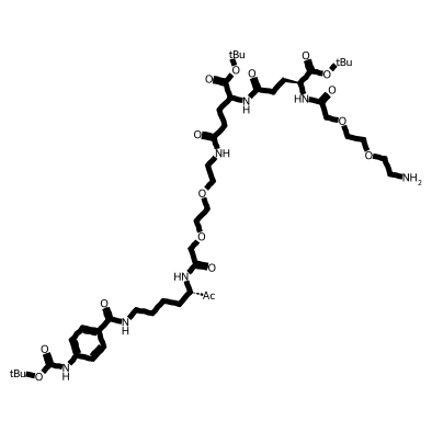 CC(=O)[C@H](CCCCNC(=O)c1ccc(NC(=O)OC(C)(C)C)cc1)NC(=O)COCCOCCNC(=O)CCC(NC(=O)CC[C@H](NC(=O)COCCOCCN)C(=O)OC(C)(C)C)C(=O)OC(C)(C)C